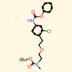 CN(CCOCCc1ccc(NC(=O)Oc2ccccc2)cc1Cl)C(=O)OC(C)(C)C